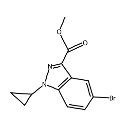 COC(=O)c1nn(C2CC2)c2ccc(Br)cc12